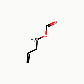 C=CC[SiH2]O[C]=O